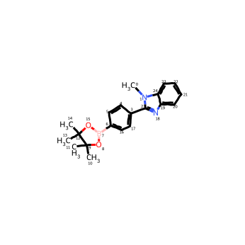 Cn1c(-c2ccc(B3OC(C)(C)C(C)(C)O3)cc2)nc2ccccc21